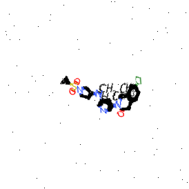 CN(c1cncc(N2C(=O)Cc3ccc(Cl)cc3C2(C)C)c1)C1CCN(S(=O)(=O)C2CC2)C1